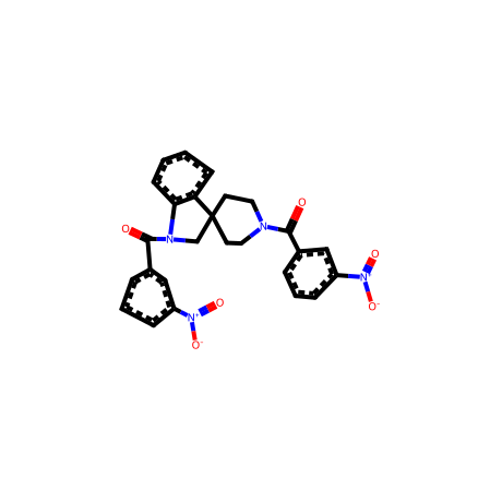 O=C(c1cccc([N+](=O)[O-])c1)N1CCC2(CC1)CN(C(=O)c1cccc([N+](=O)[O-])c1)c1ccccc12